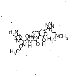 CCON=C(C(=O)NC1C(=O)N2C(C(=O)O)=C(CSc3nnnn3CCN(C)C)CS[C@@H]12)c1nsc(N)n1